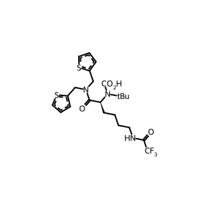 CC(C)(C)N(C(=O)O)[C@@H](CCCCNC(=O)C(F)(F)F)C(=O)N(Cc1cccs1)Cc1cccs1